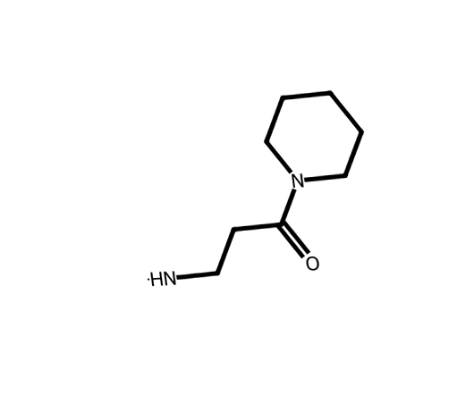 [NH]CCC(=O)N1CCCCC1